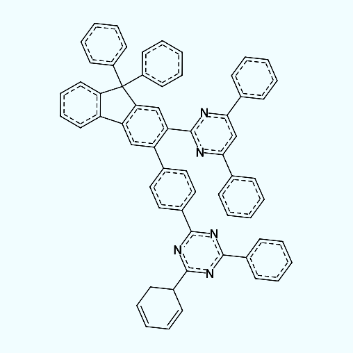 C1=CCC(c2nc(-c3ccccc3)nc(-c3ccc(-c4cc5c(cc4-c4nc(-c6ccccc6)cc(-c6ccccc6)n4)C(c4ccccc4)(c4ccccc4)c4ccccc4-5)cc3)n2)C=C1